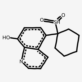 O=[SH](=O)C1(c2ccc(O)c3ncccc23)CCCCC1